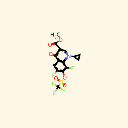 COC(=O)c1cn(C2CC2)c2c(F)c(OS(=O)(=O)C(F)(F)F)c(F)cc2c1=O